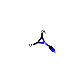 CC1C(C)N1C#N